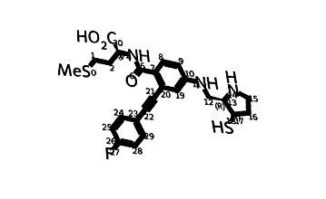 CSCC[C@H](NC(=O)c1ccc(NC[C@H]2NCC[C@H]2S)cc1C#Cc1ccc(F)cc1)C(=O)O